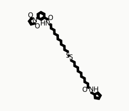 O=C(CCCCCCCCCCSSCCCCCCCCCCCNC(=O)c1cccc(N2C(=O)C=CC2=O)c1)NCC1C=CC=C1